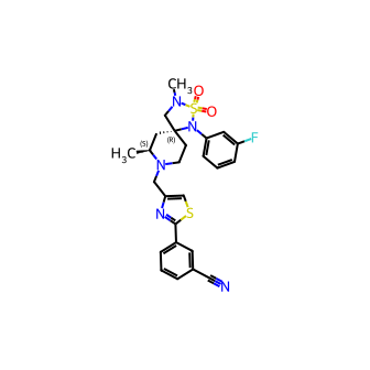 C[C@H]1C[C@]2(CCN1Cc1csc(-c3cccc(C#N)c3)n1)CN(C)S(=O)(=O)N2c1cccc(F)c1